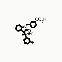 CC(C)[C@@]1(c2cccc(F)c2)C[C@@]12C(=O)N(Cc1cccc(C(=O)O)c1)c1ccccc12